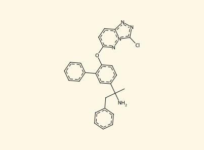 CC(N)(Cc1ccccc1)c1ccc(Oc2ccc3nnc(Cl)n3n2)c(-c2ccccc2)c1